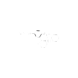 CCCCCc1ccc2c(c1)C1OCCC[C@H]1[C@@H](C1CCCCC1)N2